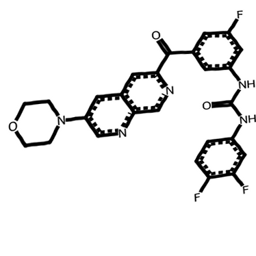 O=C(Nc1cc(F)cc(C(=O)c2cc3cc(N4CCOCC4)cnc3cn2)c1)Nc1ccc(F)c(F)c1